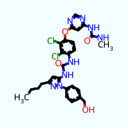 CCCCc1cc(NC(=O)Nc2ccc(Oc3cc(NC(=O)NC)ncn3)c(Cl)c2Cl)n(-c2ccc(CO)cc2)n1